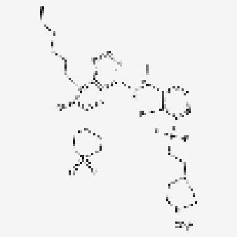 C=CCCCCn1c(=O)c(C2CCS(=O)(=O)CC2)cc2c(N[C@H](C)c3cccc(C(F)(F)CCC4CCN(C(=O)O)CC4)c3F)ncnc21